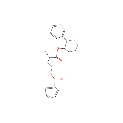 CC(CCOC(O)c1ccccc1)C(=O)OC1CCCCC1c1ccccc1